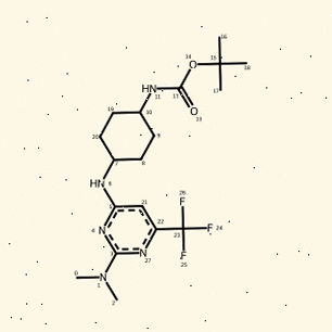 CN(C)c1nc(NC2CCC(NC(=O)OC(C)(C)C)CC2)cc(C(F)(F)F)n1